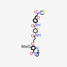 COc1cc2c(cc1OCCCC(=O)N[C@H]1CC[C@H](C(=O)Nc3ccc4cc(C(=O)N5CCSCC5)oc4c3)CC1)N=C[C@]1(C)CCCN1C2=O